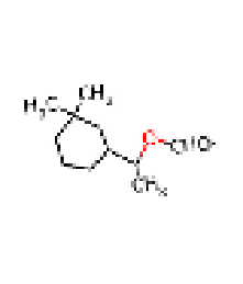 CC(O[C]=O)C1CCCC(C)(C)C1